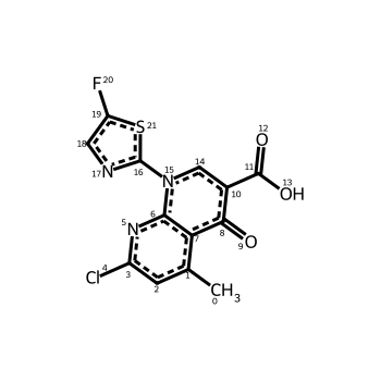 Cc1cc(Cl)nc2c1c(=O)c(C(=O)O)cn2-c1ncc(F)s1